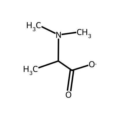 CC(C([O])=O)N(C)C